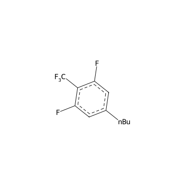 CCCCc1cc(F)c(C(F)(F)F)c(F)c1